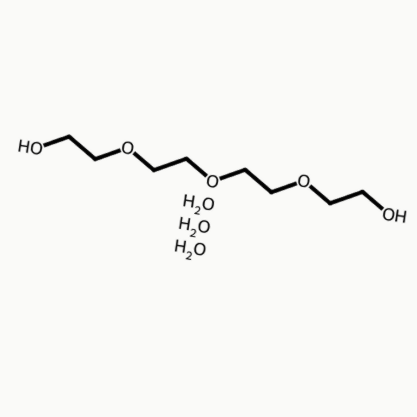 O.O.O.OCCOCCOCCOCCO